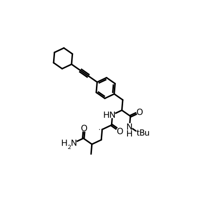 CC(C[CH]C(=O)NC(Cc1ccc(C#CC2CCCCC2)cc1)C(=O)NC(C)(C)C)C(N)=O